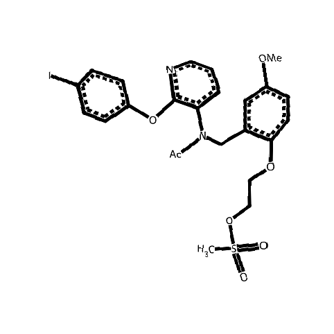 COc1ccc(OCCOS(C)(=O)=O)c(CN(C(C)=O)c2cccnc2Oc2ccc(I)cc2)c1